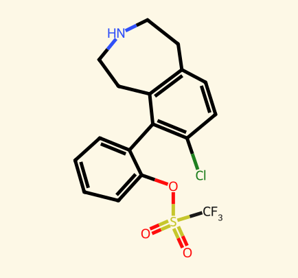 O=S(=O)(Oc1ccccc1-c1c(Cl)ccc2c1CCNCC2)C(F)(F)F